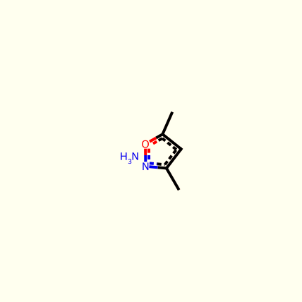 Cc1cc(C)on1.N